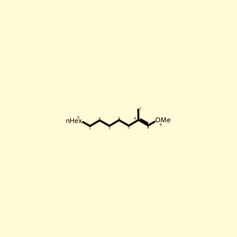 CCCCCCCCCCC/C(C)=C/OC